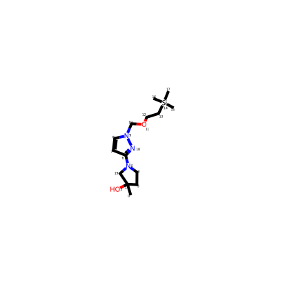 CC1(O)CCN(c2ccn(COCC[Si](C)(C)C)n2)C1